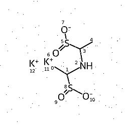 CC(NC(C)S(=O)[O-])S(=O)[O-].[K+].[K+]